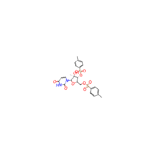 Cc1ccc(S(=O)(=O)OCC2O[C@@H](n3ccc(=O)[nH]c3=O)[C@@](C)(O)[C@@H]2OS(=O)(=O)c2ccc(C)cc2)cc1